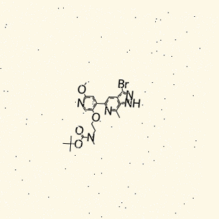 COc1cc(-c2cc3c(Br)n[nH]c3c(C)n2)c(OCCN(C)C(=O)OC(C)(C)C)cn1